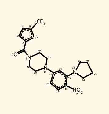 O=C(c1ccc(C(F)(F)F)s1)N1CCN(c2ccc([N+](=O)[O-])c(N3CCCC3)c2)CC1